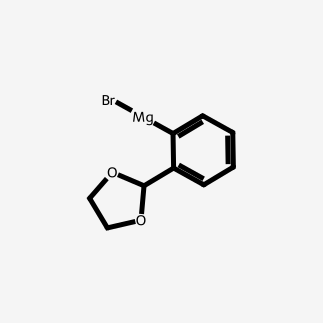 [Br][Mg][c]1ccccc1C1OCCO1